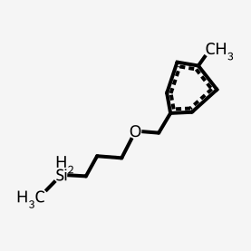 C[SiH2]CCCOCc1ccc(C)cc1